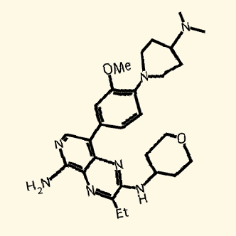 CCc1nc2c(N)ncc(-c3ccc(N4CCC(N(C)C)CC4)c(OC)c3)c2nc1NC1CCOCC1